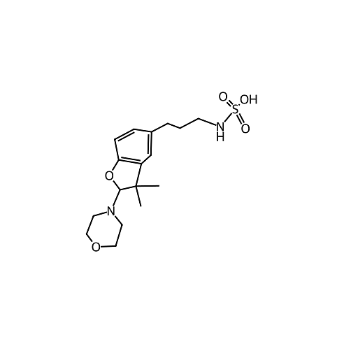 CC1(C)c2cc(CCCNS(=O)(=O)O)ccc2OC1N1CCOCC1